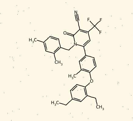 CCc1ccc(Oc2ccc(-c3cc(C(F)(F)F)c(C#N)c(=O)n3Cc3ccc(C)cc3C)cc2C)c(CC)c1